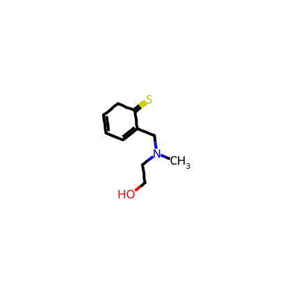 CN(CCO)CC1=CC=CCC1=S